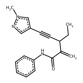 C=C(C(=O)Nc1ccccc1)C(C#Cc1cnn(C)c1)CC